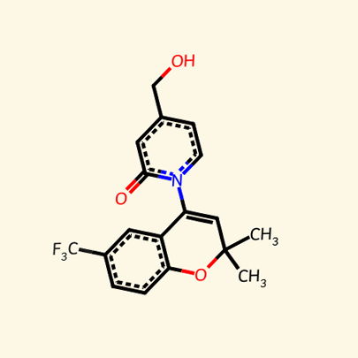 CC1(C)C=C(n2ccc(CO)cc2=O)c2cc(C(F)(F)F)ccc2O1